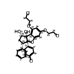 O[C@H]1C[C@@H](c2ccccc2)[C@]2(c3ccc(Cl)cc3)Oc3cc(OCCCl)cc(OCCCl)c3[C@]12O